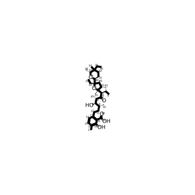 CC[C@@H](C(=O)[C@@H](C)[C@@H](O)[C@H](C)CCc1ccc(C)c(O)c1C(=O)O)[C@@]1(C)O[C@](CC)([C@@H]2CCC(C)(CC)[C@@H](C)O2)C[C@@H]1C